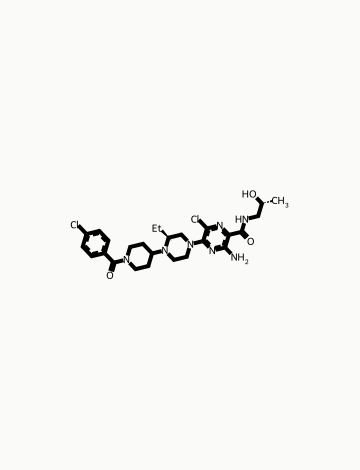 CC[C@H]1CN(c2nc(N)c(C(=O)NC[C@@H](C)O)nc2Cl)CCN1C1CCN(C(=O)c2ccc(Cl)cc2)CC1